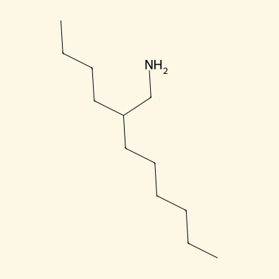 CCCCCCC(CN)CCCC